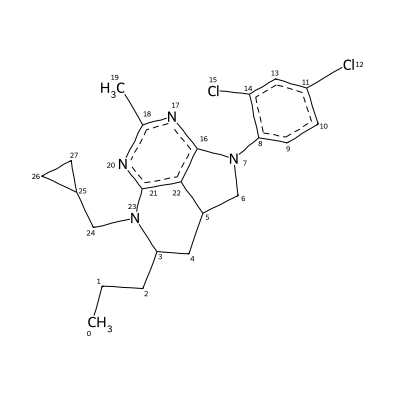 CCCC1CC2CN(c3ccc(Cl)cc3Cl)c3nc(C)nc(c32)N1CC1CC1